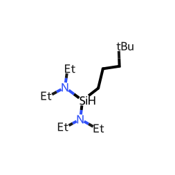 CCN(CC)[SiH](CCCC(C)(C)C)N(CC)CC